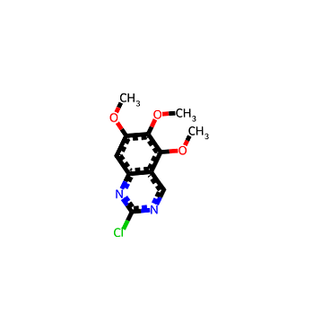 COc1cc2nc(Cl)ncc2c(OC)c1OC